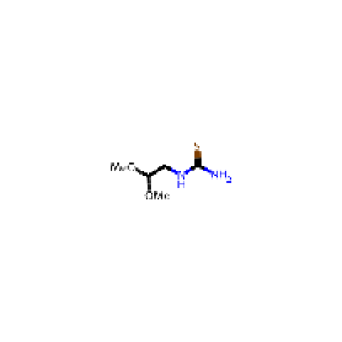 COC(CNC(N)=S)OC